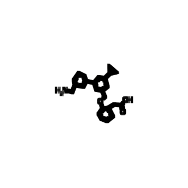 NCc1cccc(-c2cc(COc3ccccc3CC(=O)O)cc(C3CC3)c2)c1